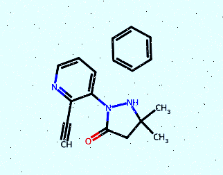 C#Cc1ncccc1N1NC(C)(C)CC1=O.c1ccccc1